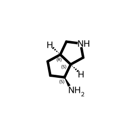 N[C@H]1CC[C@H]2CNC[C@H]21